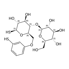 OC[C@H]1O[C@@H](O[C@H]2[C@H](O)[C@@H](O)[C@H](S)O[C@@H]2COc2cccc(S)c2)[C@H](O)[C@@H](O)[C@@H]1O